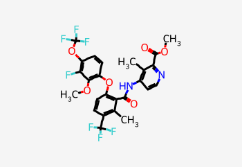 COC(=O)c1nccc(NC(=O)c2c(Oc3ccc(OC(F)(F)F)c(F)c3OC)ccc(C(F)(F)F)c2C)c1C